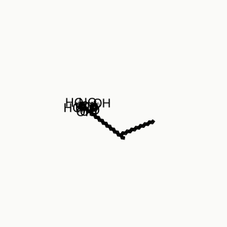 CCCCCCCCCCCCCCCC(CC)CCCCCCCCCCCCCCCC(CC[C@@]1(O)OC[C@@H](O)[C@H](O)[C@H]1O)[C@@H]1OC[C@@H](O)[C@H](O)[C@H]1O